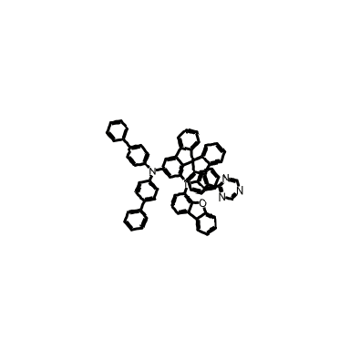 c1ccc(-c2ccc(N(c3ccc(-c4ccccc4)cc3)c3cc4c(c(N(c5ccccc5)c5cccc6c5oc5ccccc56)c3)C3(c5ccccc5-4)c4ccccc4-c4c(-c5ncncn5)cccc43)cc2)cc1